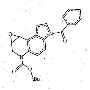 CC(C)(C)OC(=O)N1CC2OC2c2c1ccc1c2ccn1C(=O)c1ccccc1